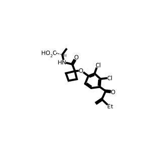 C=C(CC)C(=O)c1ccc(OC2(C(=O)N[C@@H](C)C(=O)O)CCC2)c(Cl)c1Cl